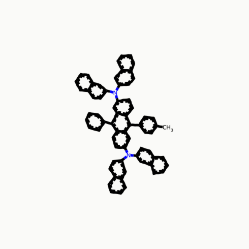 Cc1ccc(-c2c3ccc(N(c4ccc5ccccc5c4)c4ccc5ccccc5c4)cc3c(-c3ccccc3)c3ccc(N(c4ccc5ccccc5c4)c4ccc5ccccc5c4)cc23)cc1